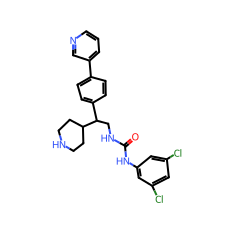 O=C(NCC(c1ccc(-c2cccnc2)cc1)C1CCNCC1)Nc1cc(Cl)cc(Cl)c1